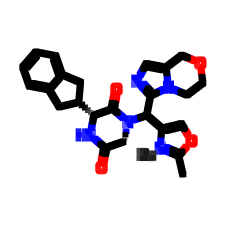 CC[C@H](C)[C@@H]1C(=O)N[C@H](C2Cc3ccccc3C2)C(=O)N1C(c1coc(C)n1)c1ncc2n1CCOC2